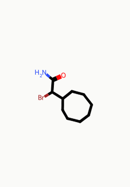 NC(=O)C(Br)C1CCCCCCC1